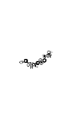 Cl.O=C(O)CNC(=O)c1cccc(S(=O)(=O)c2ccc(CCNC[C@@H](O)c3cccc(Cl)c3)cc2)c1